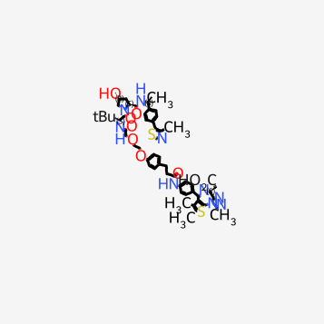 Cc1ncsc1-c1ccc([C@H](C)NC(=O)[C@@H]2C[C@@H](O)CN2C(=O)[C@@H](NC(=O)COCCOc2ccc(CCC(=O)Nc3ccc(C4=N[C@@H](CC(=O)O)c5nnc(C)n5-c5sc(C)c(C)c54)cc3)cc2)C(C)(C)C)cc1